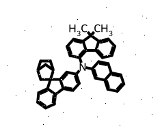 CC1(C)c2ccccc2-c2c(N(c3ccc4c(c3)C3(CC5CCC3C5)c3ccccc3-4)c3ccc4ccccc4c3)cccc21